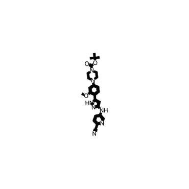 COc1cc(N2CCN(C(=O)OC(C)(C)C)CC2)ccc1-c1cc(Nc2ccc(C#N)nc2)n[nH]1